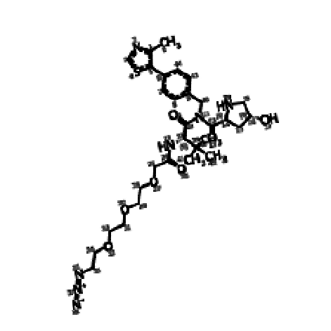 Cc1ncsc1-c1ccc(CN(C(=O)[C@@H]2C[C@@H](O)CN2)C(=O)[C@@H](NC(=O)COCCOCCOCCN=[N+]=[N-])C(C)(C)C)cc1